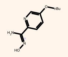 CCCCOc1ccc(/C(N)=N/O)nc1